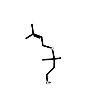 CC(C)=CCOC(C)(C)CCO